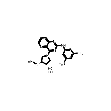 CCCN[C@H]1CCN(c2nc(Nc3cc(N)cc(C(F)(F)F)c3)nc3cccnc23)C1.Cl.Cl